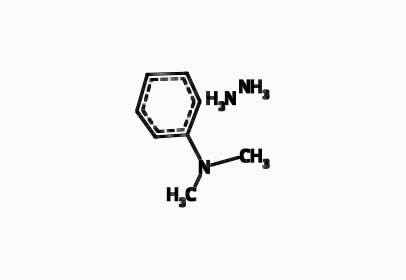 CN(C)c1ccccc1.N.N